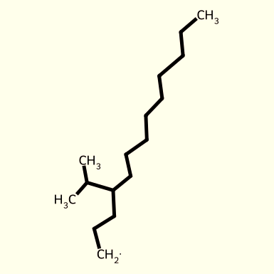 [CH2]CCC(CCCCCCCCC)C(C)C